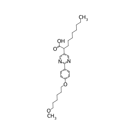 CCCCCCCCC(C(=O)O)c1cnc(-c2ccc(OCCCCCCOC)cc2)nc1